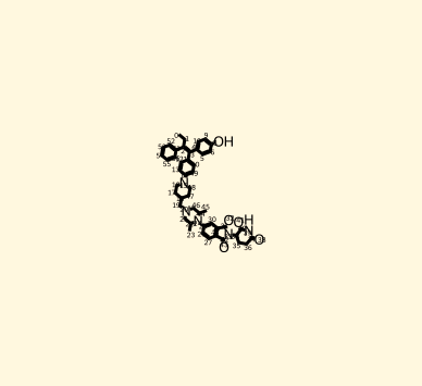 CCC(=C(c1ccc(O)cc1)c1ccc(N2CCC(CN3CC(C)N(c4ccc5c(c4)C(=O)N(C4CCC(=O)NC4=O)C5=O)C(C)C3)CC2)cc1)c1ccccc1